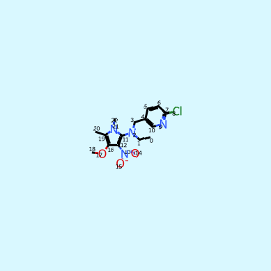 CCN(Cc1ccc(Cl)nc1)c1c([N+](=O)[O-])c(OC)c(C)n1C